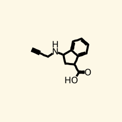 C#CCNC1CC(C(=O)O)c2ccccc21